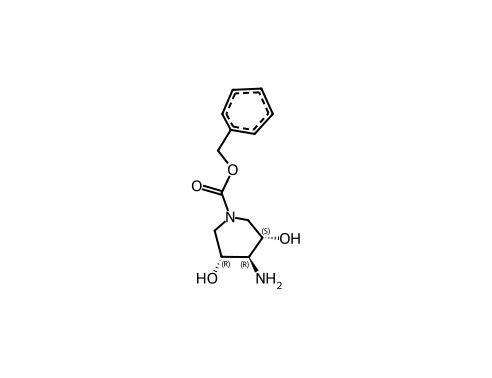 N[C@H]1[C@H](O)CN(C(=O)OCc2ccccc2)C[C@@H]1O